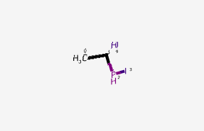 CCPI.I